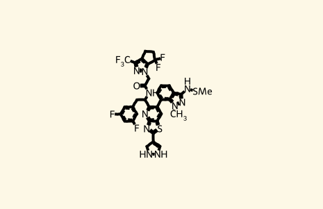 CSNc1nn(C)c2c(-c3cc4sc(C5=CNNC5)nc4nc3C(Cc3cc(F)cc(F)c3)NC(=O)Cn3nc(C(F)(F)F)c4c3C(F)(F)CC4)cccc12